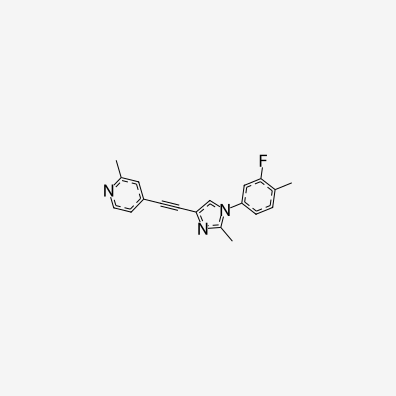 Cc1cc(C#Cc2cn(-c3ccc(C)c(F)c3)c(C)n2)ccn1